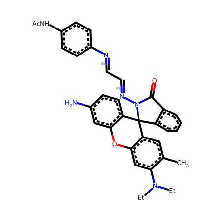 CCN(CC)c1cc2c(cc1C)C1(c3ccc(N)cc3O2)c2ccccc2C(=O)N1/N=C/C=N/c1ccc(NC(C)=O)cc1